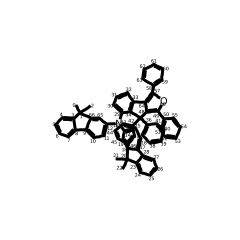 CC1(C)c2ccccc2-c2ccc(N(c3ccc4c(c3)C(C)(C)c3ccccc3-4)c3cccc4c3C(c3ccccc3)(c3ccccc3)c3c(-c5ccccc5)oc(-c5ccccc5)c3-4)cc21